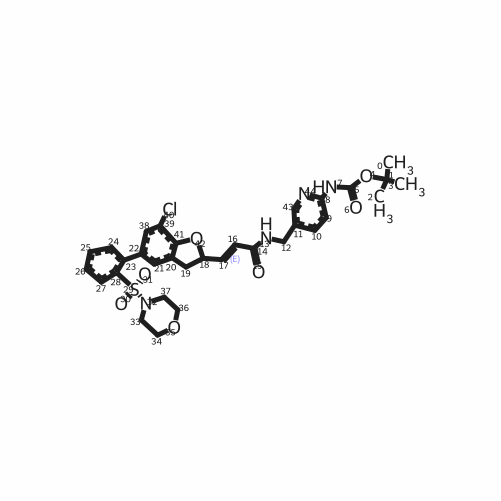 CC(C)(C)OC(=O)Nc1ccc(CNC(=O)/C=C/C2Cc3cc(-c4ccccc4S(=O)(=O)N4CCOCC4)cc(Cl)c3O2)cn1